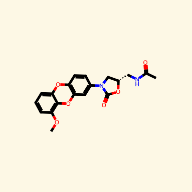 COc1cccc2c1Oc1cc(N3C[C@H](CNC(C)=O)OC3=O)ccc1O2